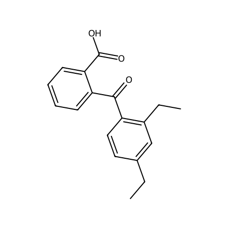 CCc1ccc(C(=O)c2ccccc2C(=O)O)c(CC)c1